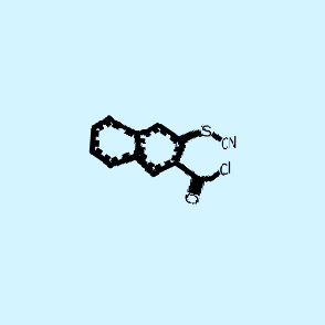 N#CSc1cc2ccccc2cc1C(=O)Cl